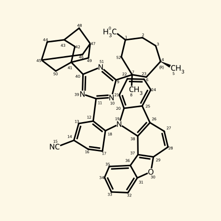 CC1CC[C@@H](C)CC(C)(c2nc(-c3cc(C#N)ccc3-n3c4ccccc4c4ccc5oc6ccccc6c5c43)nc(C34CC5CC(CC(C5)C3)C4)n2)C1